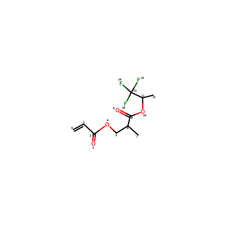 C=CC(=O)OCC(C)C(=O)OC(C)C(F)(F)F